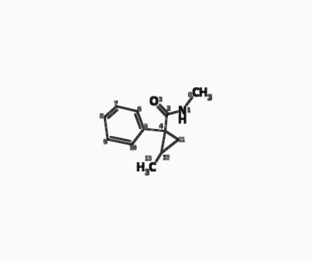 CNC(=O)C1(c2ccccc2)CC1C